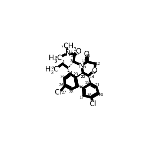 CCC[C@H](C(=O)N(C)C)N1C(=O)CO[C@@H](c2ccc(Cl)cc2)[C@H]1c1ccc(Cl)cc1